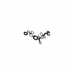 CN(C(=O)OC1CCc2c(sc(NC(=O)C=Cc3ccsc3)c2C#N)C1)C1CCCC1